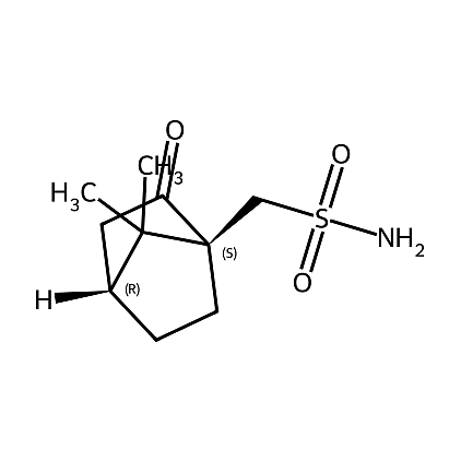 CC1(C)[C@@H]2CC[C@@]1(CS(N)(=O)=O)C(=O)C2